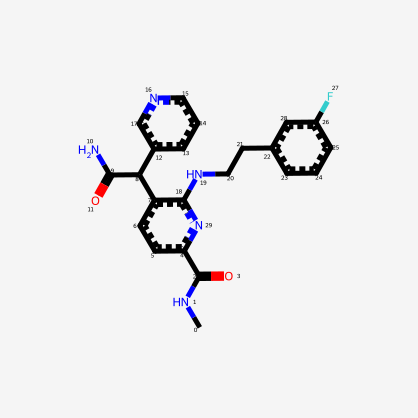 CNC(=O)c1ccc(C(C(N)=O)c2cccnc2)c(NCCc2cccc(F)c2)n1